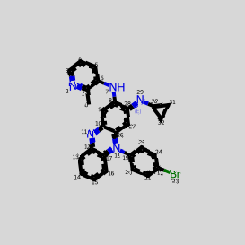 Cc1ncccc1Nc1cc2nc3ccccc3n(-c3ccc(Br)cc3)c-2c/c1=N\C1CC1